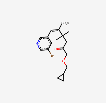 CC(C)(CC(=O)COCC1CC1)C(=Cc1cncc(Br)c1)C(=O)O